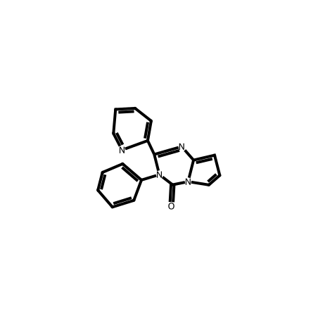 O=c1n(-c2ccccc2)c(-c2ccccn2)nc2cccn12